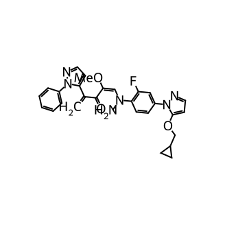 C=C(C(=O)/C(=C\N(N)c1ccc(-n2nccc2OCC2CC2)cc1F)OC)c1ccnn1-c1ccccc1